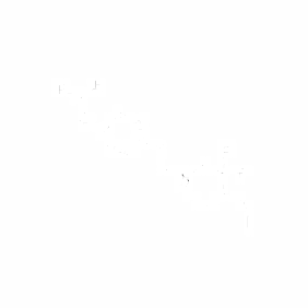 FC(F)Oc1ccc(CCN2CCC(CI)C(F)(F)C2)cc1